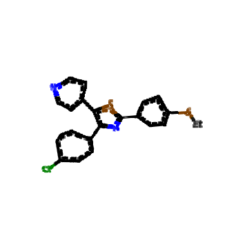 CCSc1ccc(-c2nc(-c3ccc(Cl)cc3)c(-c3ccncc3)s2)cc1